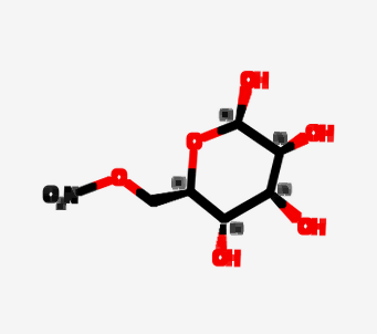 O=[N+]([O-])OC[C@H]1O[C@@H](O)[C@@H](O)[C@@H](O)[C@@H]1O